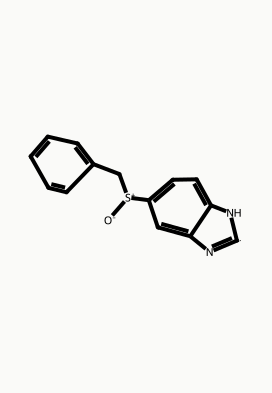 [O-][S+](Cc1ccccc1)c1ccc2[nH][c]nc2c1